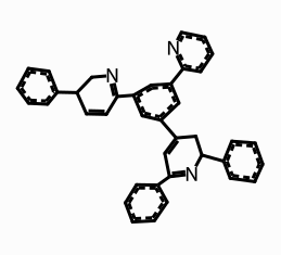 C1=CC(c2ccccc2)CN=C1c1cc(C2=CC(c3ccccc3)=NC(c3ccccc3)C2)cc(-c2ccccn2)c1